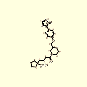 O=C(CCCC1(C(=O)O)CCCC1)N1CCCC(COc2ccc(-c3ccn[nH]3)nc2)C1